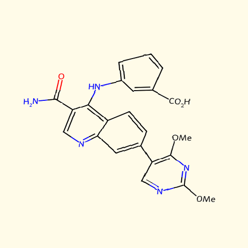 COc1ncc(-c2ccc3c(Nc4cccc(C(=O)O)c4)c(C(N)=O)cnc3c2)c(OC)n1